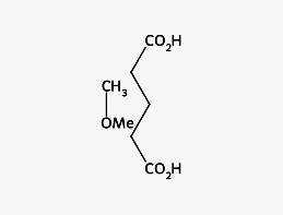 COC.O=C(O)CCCC(=O)O